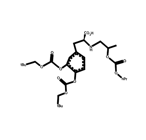 CCCOC(=O)OC(C)CN[C@@H](Cc1ccc(OC(=O)OCC(C)(C)C)c(OC(=O)OCC(C)(C)C)c1)C(=O)O